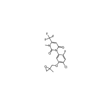 Cn1c(C(F)(F)F)cc(=O)n(-c2cc(OCC3(C)CO3)c(Cl)cc2F)c1=O